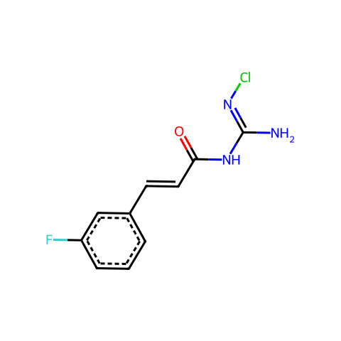 NC(=NCl)NC(=O)C=Cc1cccc(F)c1